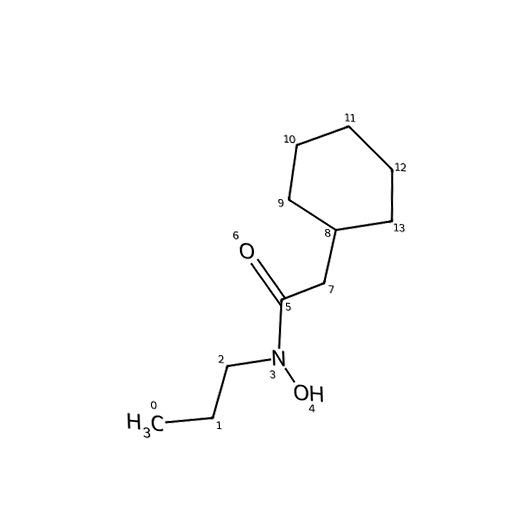 CCCN(O)C(=O)CC1CCCCC1